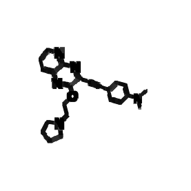 CN(C)c1ccc(C#Cc2nc3ncccc3nc2OCCN2CCCC2)cc1